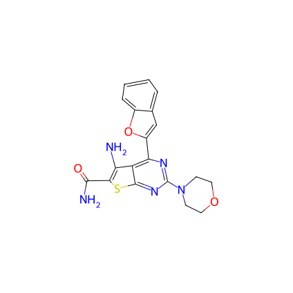 NC(=O)c1sc2nc(N3CCOCC3)nc(-c3cc4ccccc4o3)c2c1N